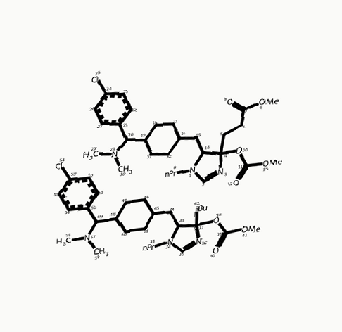 CCCN1C=NC(CCC(=O)OC)(OC(=O)OC)C1CC1CCC(C(c2ccc(Cl)cc2)N(C)C)CC1.CCCN1C=NC(OC(=O)OC)(C(C)CC)C1CC1CCC(C(c2ccc(Cl)cc2)N(C)C)CC1